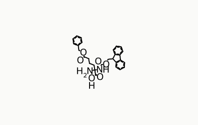 NC(CCCC(=O)OCc1ccccc1)(NC(=O)OCC1c2ccccc2-c2ccccc21)C(=O)O